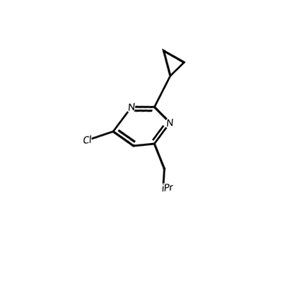 CC(C)Cc1cc(Cl)nc(C2CC2)n1